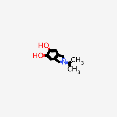 CC(C)N1Cc2cc(O)c(O)cc2C1